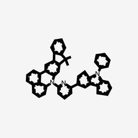 CC1(C)c2ccccc2-c2cc3c(cc21)N(c1cccc(-c2ccc4c(c2)c2ccccc2n4-c2ccccc2)n1)c1cccc2cccc-3c12